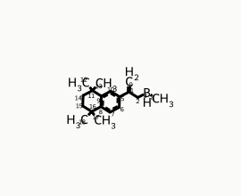 C=C(CBC)c1ccc2c(c1)C(C)(C)CCC2(C)C